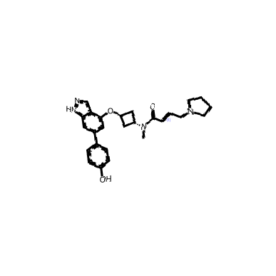 CN(C(=O)/C=C/CN1CCCC1)[C@H]1C[C@H](Oc2cc(-c3ccc(O)cc3)cc3[nH]ncc23)C1